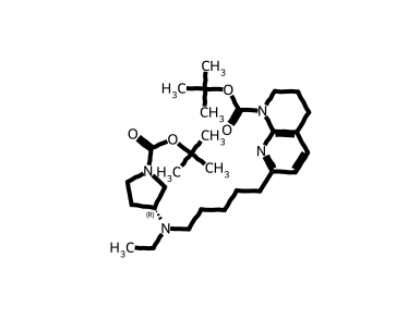 CCN(CCCCCc1ccc2c(n1)N(C(=O)OC(C)(C)C)CCC2)[C@@H]1CCN(C(=O)OC(C)(C)C)C1